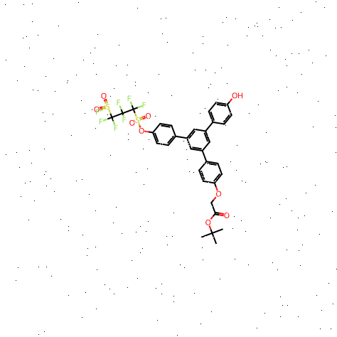 CC(C)(C)OC(=O)COc1ccc(-c2cc(-c3ccc(O)cc3)cc(-c3ccc(OS(=O)(=O)C(F)(F)C(F)(F)C(F)(F)S(=O)(=O)F)cc3)c2)cc1